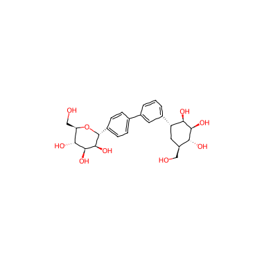 OC[C@H]1C[C@H](c2cccc(-c3ccc([C@H]4O[C@H](CO)[C@@H](O)[C@H](O)[C@@H]4O)cc3)c2)[C@@H](O)[C@@H](O)[C@@H]1O